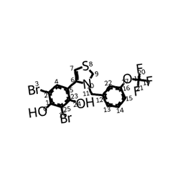 Oc1c(Br)cc(C2=CSCN2Cc2cccc(OC(F)(F)F)c2)c(O)c1Br